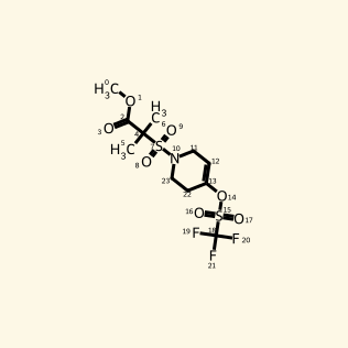 COC(=O)C(C)(C)S(=O)(=O)N1CC=C(OS(=O)(=O)C(F)(F)F)CC1